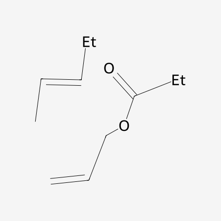 C=CCOC(=O)CC.CC=CCC